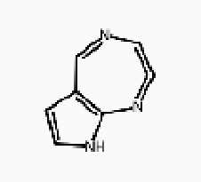 C1=CN=Cc2cc[nH]c2N=1